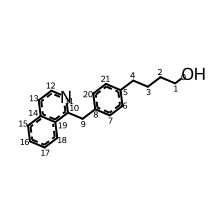 OCCCCc1ccc(Cc2nccc3ccccc23)cc1